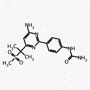 CC(C)(c1cc(N)nc(-c2ccc(NC(N)=O)cc2)n1)S(C)(=O)=O